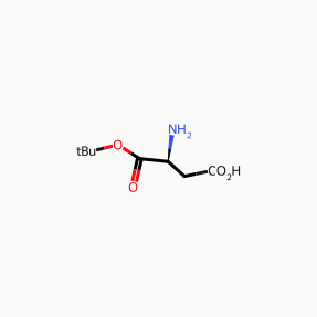 CC(C)(C)OC(=O)[C@@H](N)CC(=O)O